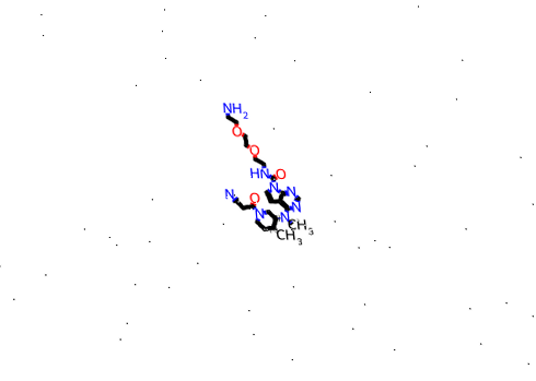 C[C@@H]1CCN(C(=O)CC#N)C[C@@H]1N(C)c1ncnc2c1ccn2C(=O)NCCOCCOCCN